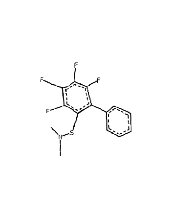 CN(C)Sc1c(F)c(F)c(F)c(F)c1-c1ccccc1